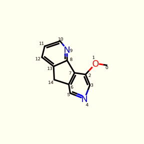 COc1cncc2c1-c1ncccc1C2